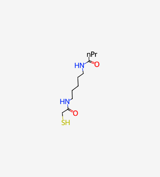 CCCC(=O)NCCCCCNC(=O)CS